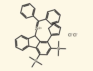 C[Si](C)(C)c1cc([Si](C)(C)C)c2c(c1C1=CC=CC1)[CH]([Zr+2]=[C](c1ccccc1)c1ccccc1)c1ccccc1-2.[Cl-].[Cl-]